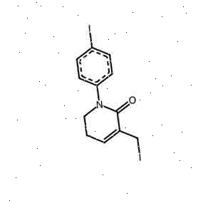 O=C1C(CI)=CCCN1c1ccc(I)cc1